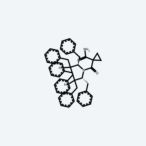 NC(=O)C1(C(=O)N([C@H](Cc2ccccc2)C(O)(Cc2ccccc2)Cc2ccccc2)[C@H](Cc2ccccc2)C(O)(Cc2ccccc2)Cc2ccccc2)CC1